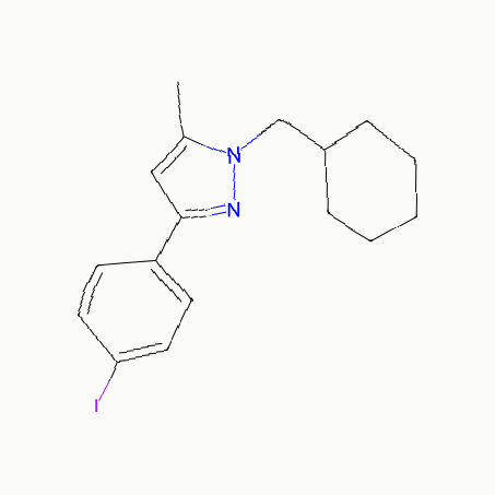 Cc1cc(-c2ccc(I)cc2)nn1CC1CCCCC1